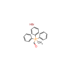 Br.CP(C=O)(c1ccccc1)(c1ccccc1)c1ccccc1